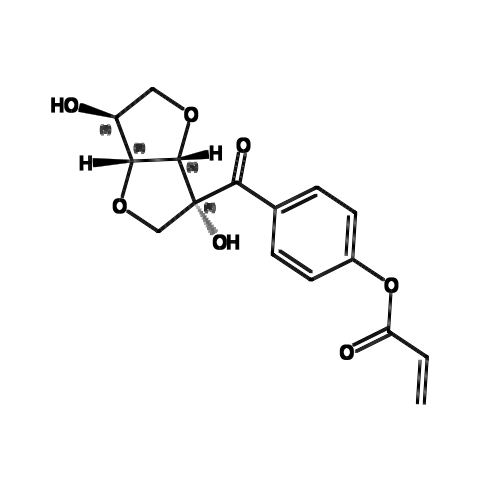 C=CC(=O)Oc1ccc(C(=O)[C@@]2(O)CO[C@@H]3[C@@H](O)CO[C@@H]32)cc1